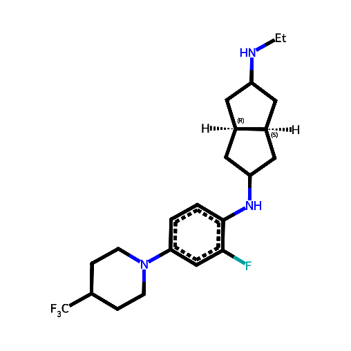 CCNC1C[C@@H]2CC(Nc3ccc(N4CCC(C(F)(F)F)CC4)cc3F)C[C@@H]2C1